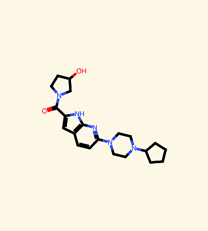 O=C(c1cc2ccc(N3CCN(C4CCCC4)CC3)nc2[nH]1)N1CCC(O)C1